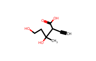 C#CC(C(=O)O)C(C)(O)CCO